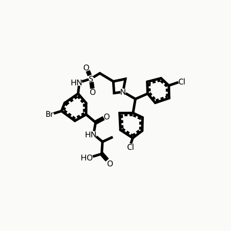 CC(NC(=O)c1cc(Br)cc(NS(=O)(=O)CC2CN(C(c3ccc(Cl)cc3)c3ccc(Cl)cc3)C2)c1)C(=O)O